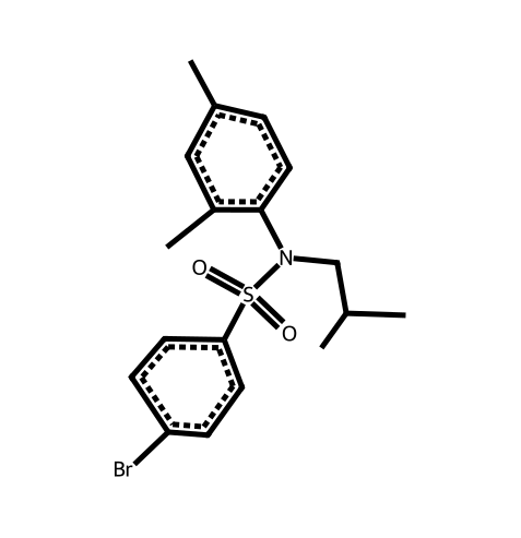 Cc1ccc(N(CC(C)C)S(=O)(=O)c2ccc(Br)cc2)c(C)c1